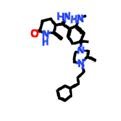 C=C1NC(=O)CCC1C(=N)C1=CCC(C)(N2CCN(CCCC3CCCCC3)C(C)C2)C=C1NC